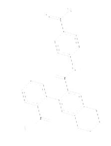 N=C(N)c1ccc(NC(=O)c2cc3c(cc2-c2ccccc2C(=O)O)CCCC3)cc1